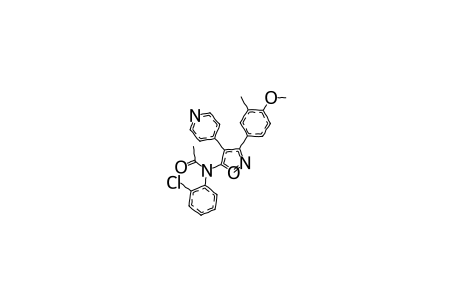 COc1ccc(-c2noc(N(C(C)=O)c3ccccc3Cl)c2-c2ccncc2)cc1C